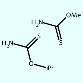 CC(C)OC(N)=S.COC(N)=S